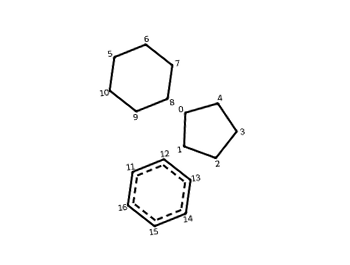 C1CCCC1.C1CCCCC1.c1ccccc1